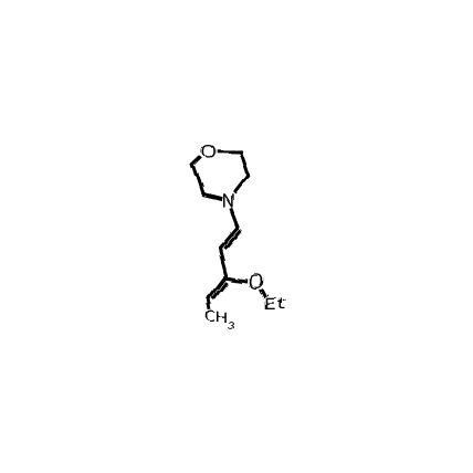 C/C=C(/C=C/N1CCOCC1)OCC